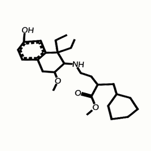 CCC1(CC)c2cc(O)ccc2CC(OC)C1NCCC(CC1CCCCC1)C(=O)OC